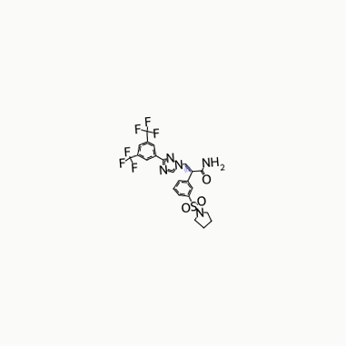 NC(=O)/C(=C/n1cnc(-c2cc(C(F)(F)F)cc(C(F)(F)F)c2)n1)c1cccc(S(=O)(=O)N2CCCC2)c1